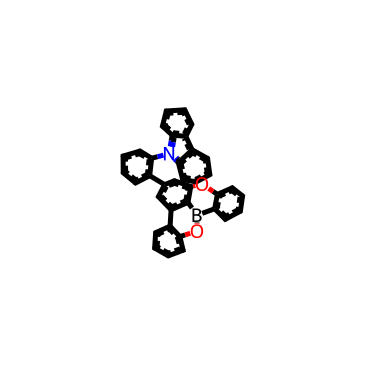 c1ccc2c(c1)Oc1cc(-c3ccccc3-n3c4ccccc4c4ccccc43)cc3c1B2Oc1ccccc1-3